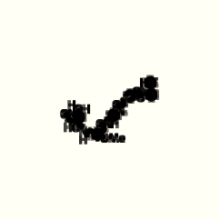 COc1ccc(CC(C)NC[C@H](O)c2ccc(O)c3[nH]c(=O)ccc23)cc1CC(=O)NCc1ccc(N(C)C(=O)CCN2CCC(OC(=O)Nc3ccccc3-c3ccccc3)CC2)cc1